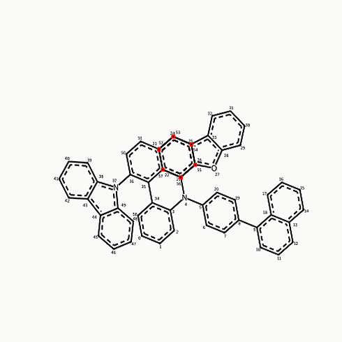 c1ccc(N(c2ccc(-c3cccc4ccccc34)cc2)c2cccc3c2oc2ccccc23)c(-c2c(-n3c4ccccc4c4ccccc43)ccc3ccccc23)c1